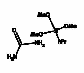 CCC[Si](OC)(OC)OC.NC(N)=O